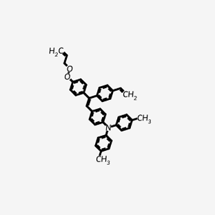 C=CCOOc1ccc(C(=Cc2ccc(N(c3ccc(C)cc3)c3ccc(C)cc3)cc2)c2ccc(C=C)cc2)cc1